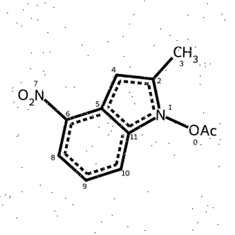 CC(=O)On1c(C)cc2c([N+](=O)[O-])cccc21